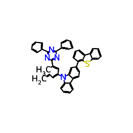 C=C/C=C(\C=C(/C)c1nc(-c2ccccc2)nc(-c2ccccc2)n1)n1c2ccccc2c2ccc(-c3cccc4c3sc3ccccc34)cc21